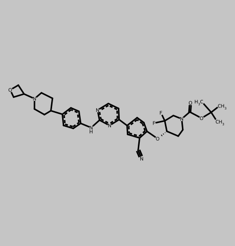 CC(C)(C)OC(=O)N1CC[C@H](Oc2ccc(-c3ccnc(Nc4ccc(C5CCN(C6COC6)CC5)cc4)n3)cc2C#N)C(F)(F)C1